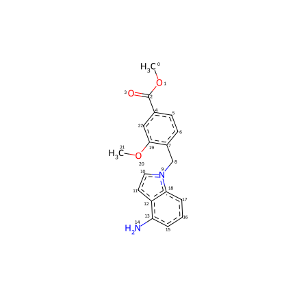 COC(=O)c1ccc(Cn2ccc3c(N)cccc32)c(OC)c1